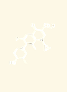 Cc1c(N2CC[C@@H](O)[C@@H](C)C2)c(F)cc2c(=O)c(C(=O)O)cn(C3CC3)c12